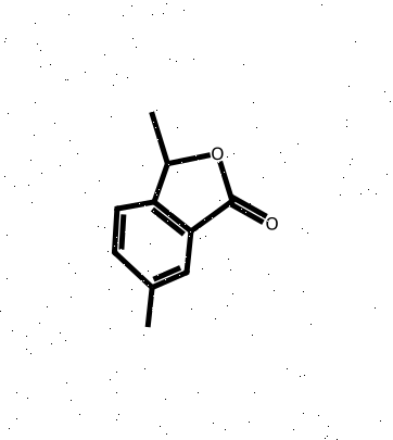 Cc1ccc2c(c1)C(=O)OC2C